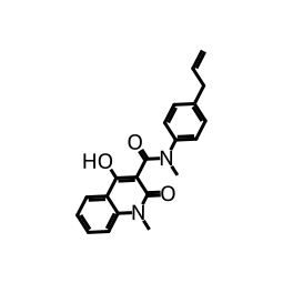 C=CCc1ccc(N(C)C(=O)c2c(O)c3ccccc3n(C)c2=O)cc1